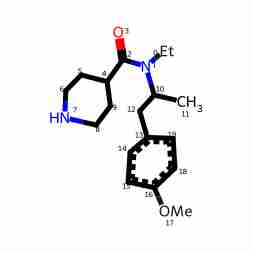 CCN(C(=O)C1CCNCC1)C(C)Cc1ccc(OC)cc1